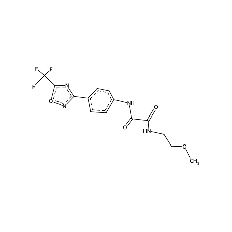 COCCNC(=O)C(=O)Nc1ccc(-c2noc(C(F)(F)F)n2)cc1